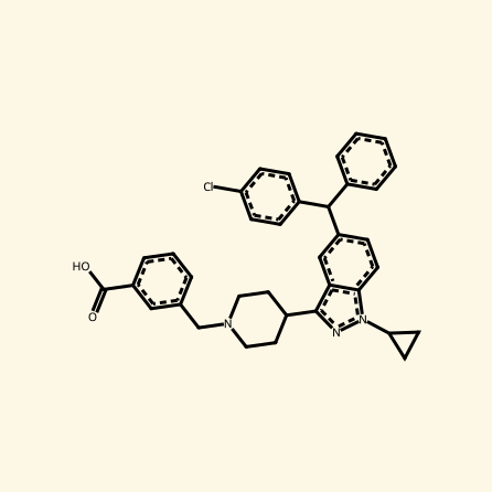 O=C(O)c1cccc(CN2CCC(c3nn(C4CC4)c4ccc(C(c5ccccc5)c5ccc(Cl)cc5)cc34)CC2)c1